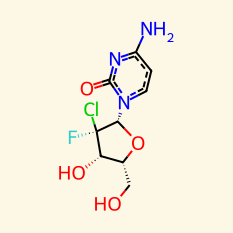 Nc1ccn([C@@H]2O[C@H](CO)[C@H](O)[C@@]2(F)Cl)c(=O)n1